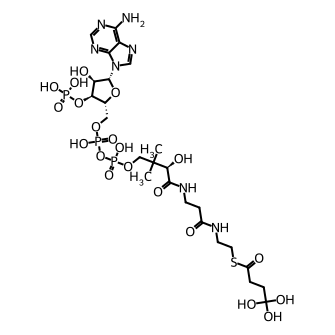 CC(C)(COP(=O)(O)OP(=O)(O)OC[C@H]1O[C@@H](n2cnc3c(N)ncnc32)[C@H](O)[C@@H]1OP(=O)(O)O)[C@@H](O)C(=O)NCCC(=O)NCCSC(=O)CCC(O)(O)O